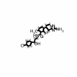 Cc1ccc(-c2ccn3nc(N)nc3c2F)c(F)c1C(=O)NCC[C@H](O)c1ccc(Cl)cc1